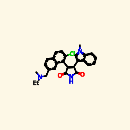 CCN(C)Cc1ccc2ccc(Cl)c(C3=C(c4cn(C)c5ccccc45)C(=O)NC3=O)c2c1